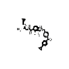 Cc1c(C(=O)NCC(C)OCC2CC2)ccc2nn(CC3CCN(C(=O)c4ccc(C5CC5)cc4)CC3)cc12